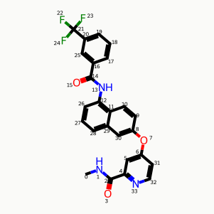 CNC(=O)c1cc(Oc2ccc3c(NC(=O)c4cccc(C(F)(F)F)c4)cccc3c2)ccn1